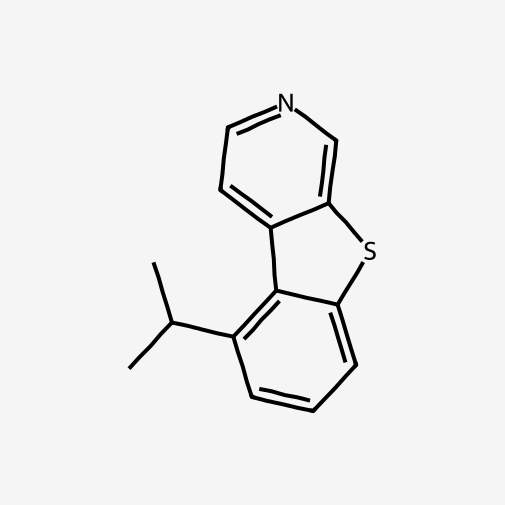 CC(C)c1cccc2sc3cnccc3c12